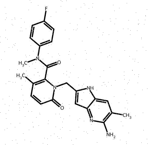 Cc1cc2[nH]c(Cn3c(C(=O)N(C)c4ccc(F)cc4)c(C)ccc3=O)cc2nc1N